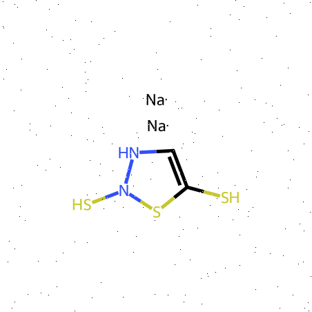 SC1=CNN(S)S1.[Na].[Na]